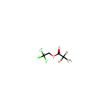 CC(Br)(Br)C(=O)OCC(Cl)(Cl)Cl